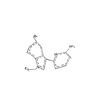 CCn1cc(-c2ccnc(N)n2)c2cc(Br)ccc21